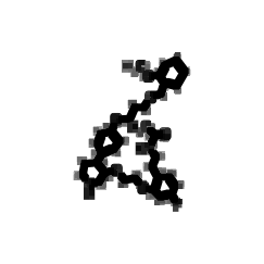 COc1ccccc1COCCCOc1ccc(C2CCNCC2OCCOc2cc(F)ccc2CCNC(C)=O)cc1